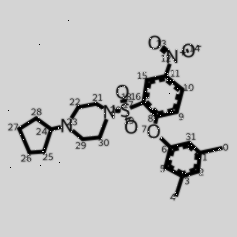 Cc1cc(C)cc(Oc2ccc([N+](=O)[O-])cc2S(=O)(=O)N2CCN(C3CCCC3)CC2)c1